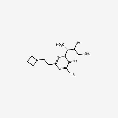 Cc1cc(CCN2CCC2)nn([C@H](C(=O)O)C(C[SiH3])C(C)C)c1=O